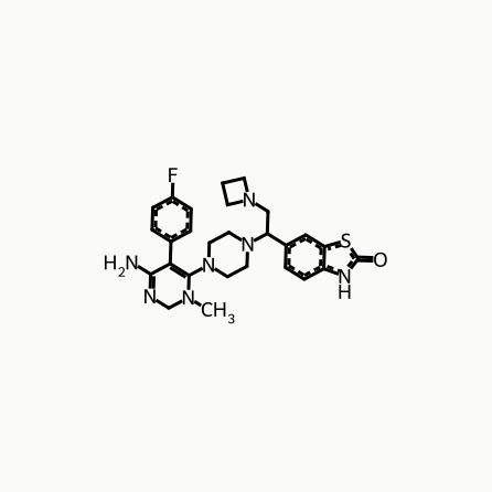 CN1CN=C(N)C(c2ccc(F)cc2)=C1N1CCN(C(CN2CCC2)c2ccc3[nH]c(=O)sc3c2)CC1